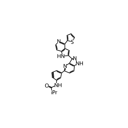 CC(C)C(=O)Nc1c#ccc(-c2ccc3[nH]nc(-c4cc5c(-c6cccs6)nccc5[nH]4)c3n2)c1